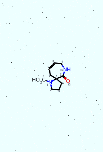 O=C(O)N1CCCC12CC=CCNC2=O